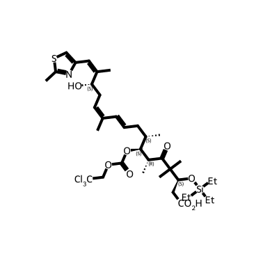 CC[Si](CC)(CC)O[C@@H](CC(=O)O)C(C)(C)C(=O)[C@H](C)[C@@H](OC(=O)OCC(Cl)(Cl)Cl)[C@@H](C)CC=CC(C)=CC[C@H](O)C(C)=Cc1csc(C)n1